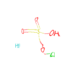 F.O=S(=O)(O)OCl